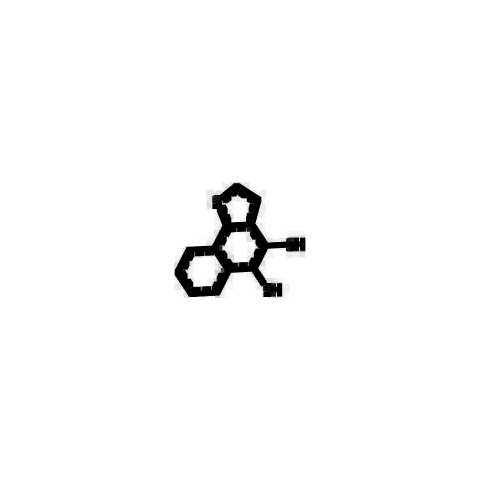 Sc1c(S)c2ccsc2c2ccccc12